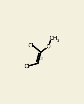 CO/C(Cl)=C/Cl